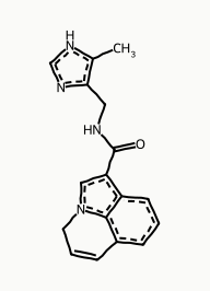 Cc1[nH]cnc1CNC(=O)c1cn2c3c(cccc13)C=CC2